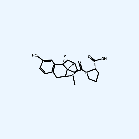 CN1CCC[C@]2(C)c3cc(O)ccc3CC1[C@@H]2CC(=O)N1CCC[C@H]1C(=O)O